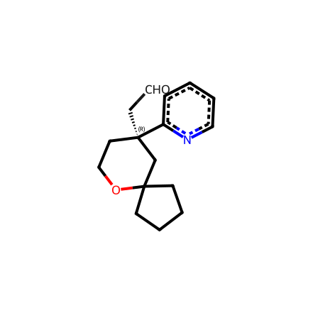 O=CC[C@@]1(c2ccccn2)CCOC2(CCCC2)C1